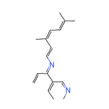 C=CC(=N\C=C\C(C)=C/C=C(C)C)/C(/C=N\C)=C/C